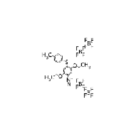 CCOc1cc(Sc2ccc(C)cc2)c(OCC)cc1[N+]#N.F[B-](F)(F)F.F[B-](F)(F)F.F[B-](F)(F)F.F[B-](F)(F)F